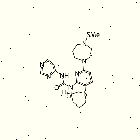 CSN1CCCN(c2ccc3c(n2)N(C(=O)Nc2ccncn2)[C@H]2CCCN3C2)CC1